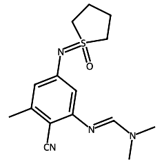 Cc1cc(N=S2(=O)CCCC2)cc(/N=C/N(C)C)c1C#N